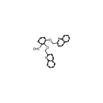 O=Cc1cccc(OCc2ccc3ccccc3n2)c1OCc1ccc2ccccc2n1